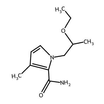 CCOC(C)Cn1ccc(C)c1C(N)=O